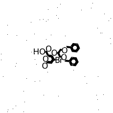 O=C(O)c1oc(=O)cc(Br)c1OC(COCc1ccccc1)COCc1ccccc1